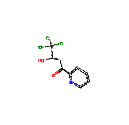 O=C(CC(O)C(Cl)(Cl)Cl)c1ccccn1